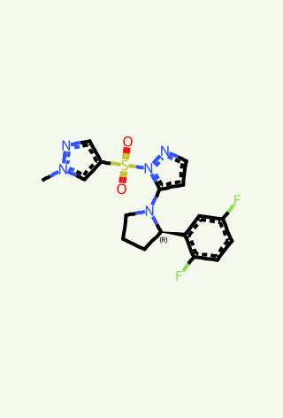 Cn1cc(S(=O)(=O)n2nccc2N2CCC[C@@H]2c2cc(F)ccc2F)cn1